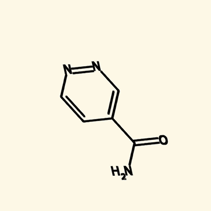 NC(=O)c1ccnnc1